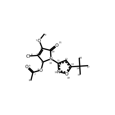 COC1=C(Cl)C(OC(C)=O)N(c2cc(C(C)(C)C)on2)C1=O